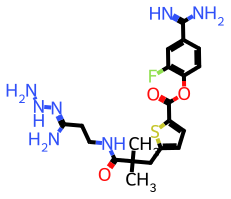 CC(C)(Cc1ccc(C(=O)Oc2ccc(C(=N)N)cc2F)s1)C(=O)NCC/C(N)=N/NN